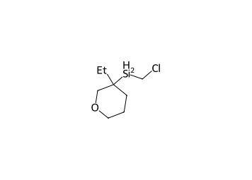 CCC1([SiH2]CCl)CCCOC1